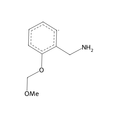 COCOc1ccc[c]c1CN